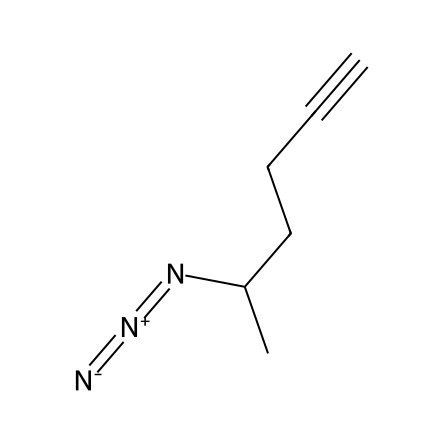 C#CCCC(C)N=[N+]=[N-]